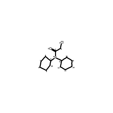 O=C(CCl)N(C1CCCCC1)C1CCCCC1